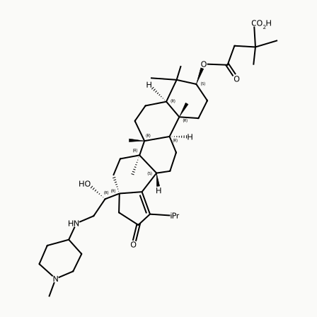 CC(C)C1=C2[C@H]3CC[C@@H]4[C@@]5(C)CC[C@H](OC(=O)CC(C)(C)C(=O)O)C(C)(C)[C@@H]5CC[C@@]4(C)[C@]3(C)CC[C@@]2([C@@H](O)CNC2CCN(C)CC2)CC1=O